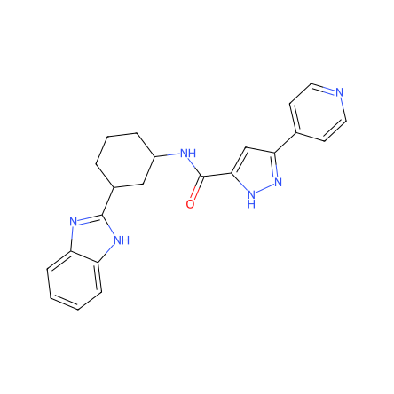 O=C(NC1CCCC(c2nc3ccccc3[nH]2)C1)c1cc(-c2ccncc2)n[nH]1